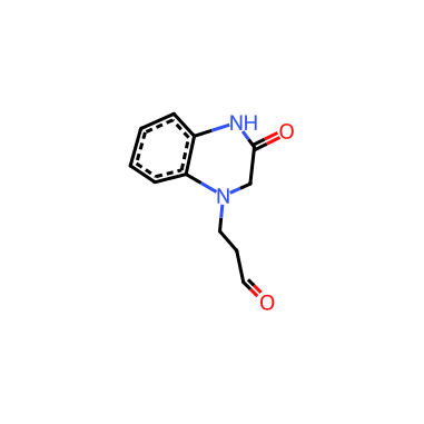 O=CCCN1CC(=O)Nc2ccccc21